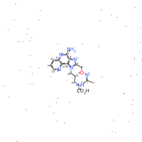 CC(C)=NOCc1nc2c(N)nc3cccnc3c2n1CCCNC(=O)O